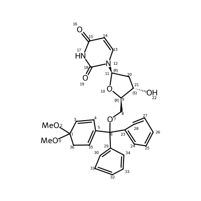 COC1(OC)C=CC(C(OC[C@H]2O[C@@H](n3ccc(=O)[nH]c3=O)C[C@@H]2O)(c2ccccc2)c2ccccc2)=CC1